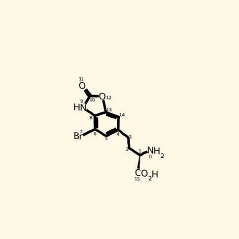 N[C@H](CCc1cc(Br)c2[nH]c(=O)oc2c1)C(=O)O